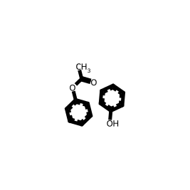 CC(=O)Oc1ccccc1.Oc1ccccc1